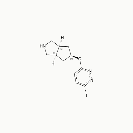 Ic1ccc(O[C@H]2C[C@H]3CNC[C@H]3C2)nn1